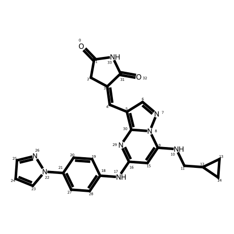 O=C1CC(=Cc2cnn3c(NCC4CC4)cc(Nc4ccc(-n5cccn5)cc4)nc23)C(=O)N1